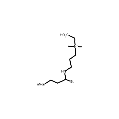 CCCCCCCCCCCC(CC)NCCC[N+](C)(C)CC(=O)O